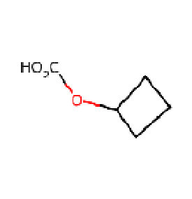 O=C(O)OC1CCC1